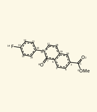 COC(=O)c1ccc2c(=O)n(-c3ccc(F)cc3)ccc2c1